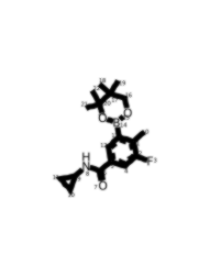 Cc1c(F)cc(C(=O)NC2CC2)cc1B1OCC(C)(C)C(C)(C)O1